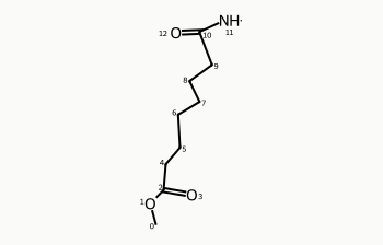 COC(=O)CCCCCCC([NH])=O